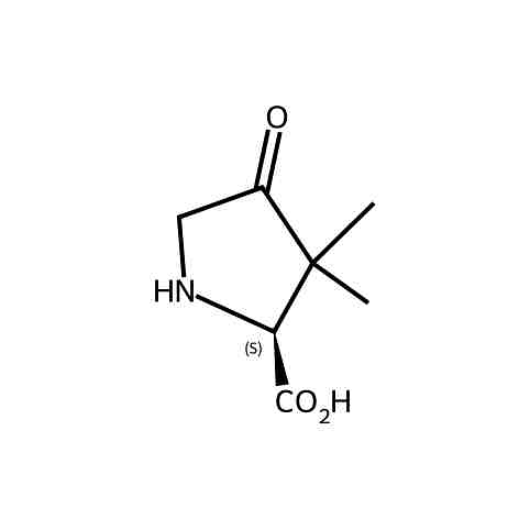 CC1(C)C(=O)CN[C@@H]1C(=O)O